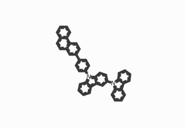 c1ccc2c(c1)ccc1cc(-c3ccc(-n4c5ccccc5c5cc(-n6c7ccccc7c7ccccc76)ccc54)cc3)ccc12